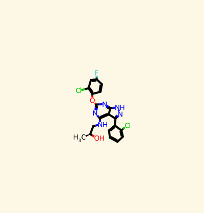 C[C@H](O)CNc1nc(Oc2ccc(F)cc2Cl)nc2[nH]nc(-c3ccccc3Cl)c12